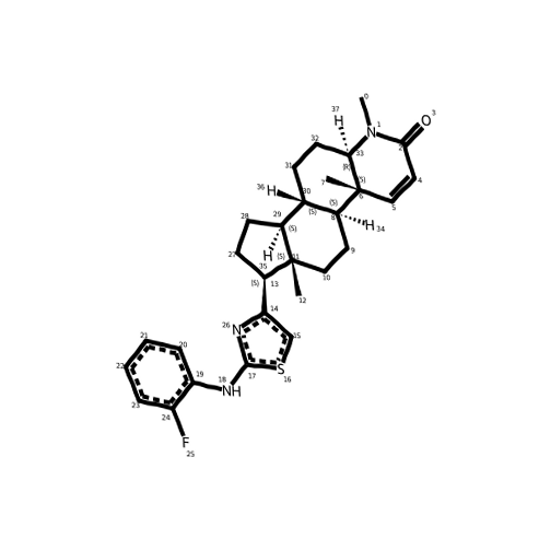 CN1C(=O)C=C[C@]2(C)[C@H]3CC[C@]4(C)[C@@H](c5csc(Nc6ccccc6F)n5)CC[C@H]4[C@@H]3CC[C@@H]12